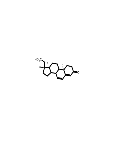 C[C@]1(CC(=O)O)CCC2C3C=CC4=CC(=O)CC[C@]4(C)C3CC[C@@]21C